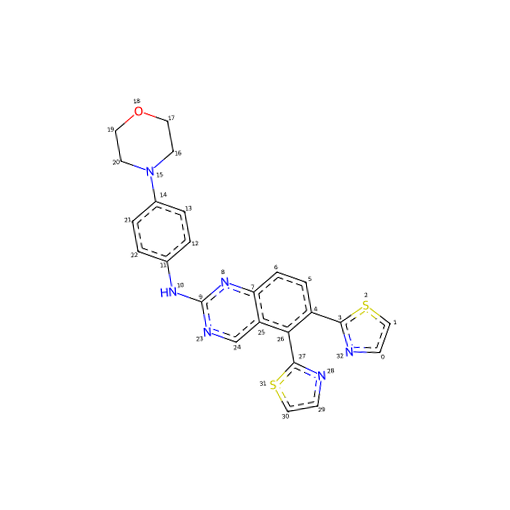 c1csc(-c2ccc3nc(Nc4ccc(N5CCOCC5)cc4)ncc3c2-c2nccs2)n1